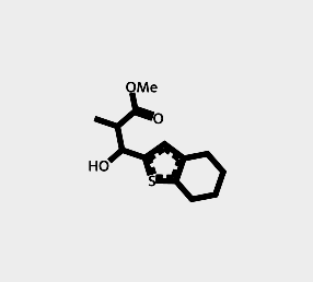 COC(=O)C(C)C(O)c1cc2c(s1)CCCC2